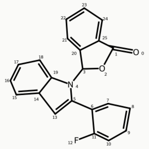 O=C1OC(n2c(-c3ccccc3F)cc3ccccc32)c2ccccc21